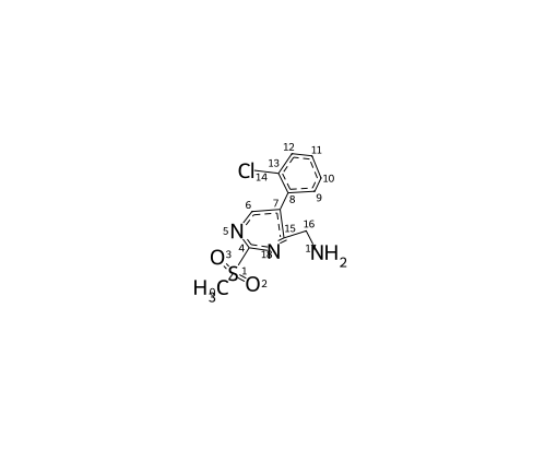 CS(=O)(=O)c1ncc(-c2ccccc2Cl)c(CN)n1